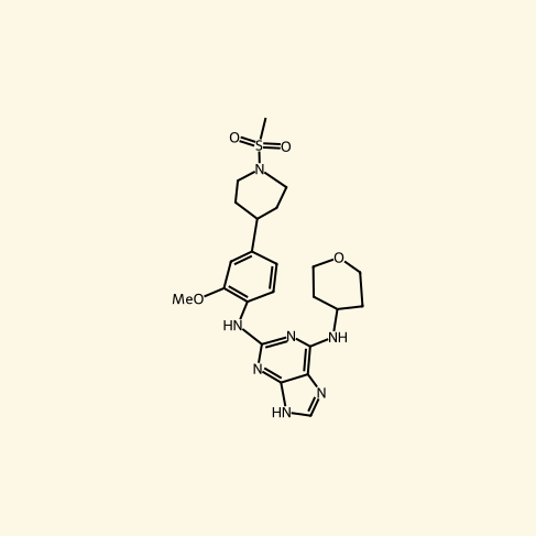 COc1cc(C2CCN(S(C)(=O)=O)CC2)ccc1Nc1nc(NC2CCOCC2)c2nc[nH]c2n1